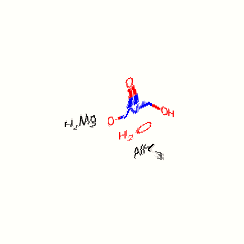 O.O=[N+]([O-])O.[AlH3].[MgH2]